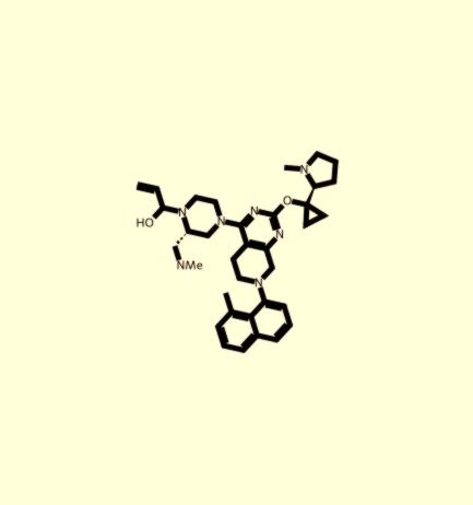 C=CC(O)N1CCN(c2nc(OC3([C@@H]4CCCN4C)CC3)nc3c2CCN(c2cccc4cccc(C)c24)C3)C[C@@H]1CNC